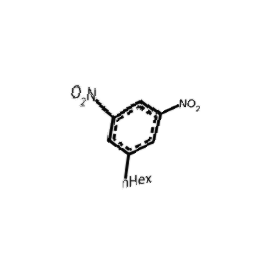 [CH2]CCCCCc1cc([N+](=O)[O-])cc([N+](=O)[O-])c1